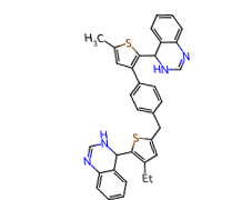 CCc1cc(Cc2ccc(-c3cc(C)sc3C3NC=Nc4ccccc43)cc2)sc1C1NC=Nc2ccccc21